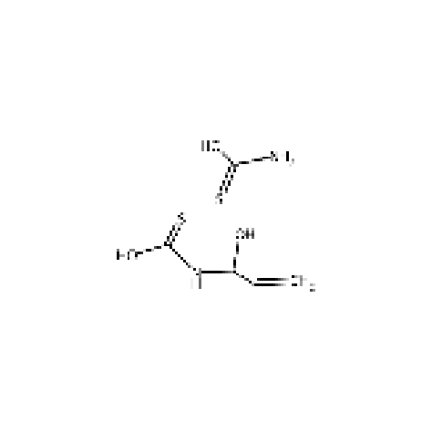 C=CC(O)NC(O)=S.NC(O)=S